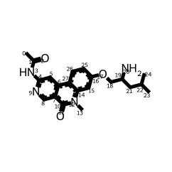 CC(=O)Nc1cc2c(cn1)c(=O)n(C)c1cc(OCC(N)CC(C)C)ccc21